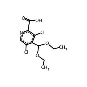 CCOC(OCC)c1c(Cl)cnc(C(=O)O)c1Cl